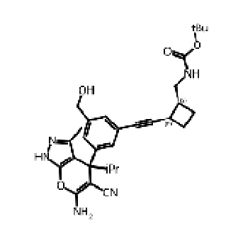 Cc1n[nH]c2c1C(c1cc(C#C[C@@H]3CC[C@@H]3CNC(=O)OC(C)(C)C)cc(CO)c1)(C(C)C)C(C#N)=C(N)O2